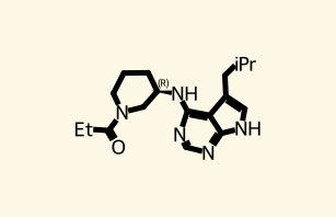 CCC(=O)N1CCC[C@@H](Nc2ncnc3[nH]cc(CC(C)C)c23)C1